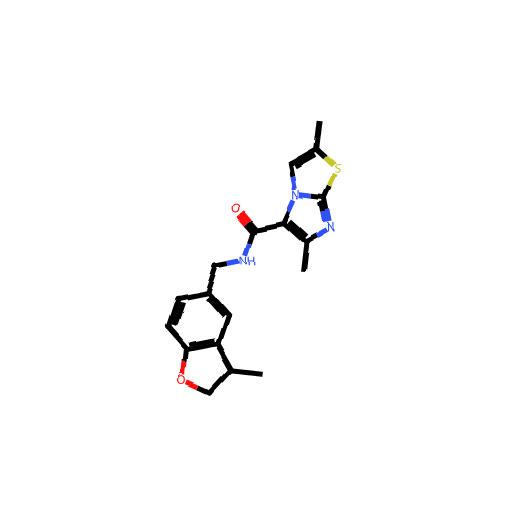 Cc1cn2c(C(=O)NCc3ccc4c(c3)C(C)CO4)c(C)nc2s1